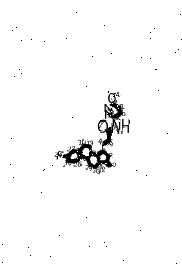 C=C1C[C@@H](CCC(=O)Nc2ccc(OC)nn2)C2C3CCc4cc(F)ccc4C3CC[C@]12C